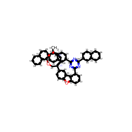 CC1/C=C\C=C(\c2ccc3oc4cccc(-c5nc(-c6ccc7ccccc7c6)nc(-c6ccc7ccccc7c6)n5)c4c3c2)COc2c1ccc1ccccc21